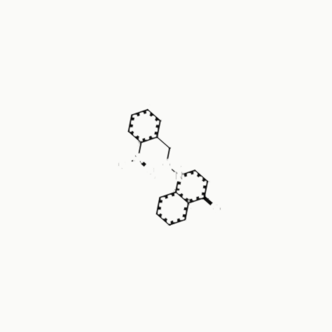 O=c1ccn(OCc2ccccc2[N+](=O)[O-])c2ccccc12